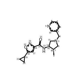 C[C@@H]1CN(Cc2cccnc2)C[C@@H]1NC(=O)c1cc(C2CC2)on1